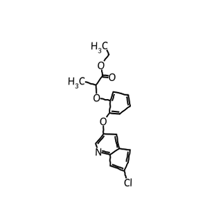 CCOC(=O)C(C)Oc1ccccc1Oc1cnc2cc(Cl)ccc2c1